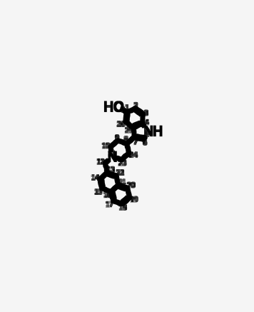 Oc1ccc2[nH]cc(C3CCN(Cc4ccc5ccccc5c4)CC3)c2c1